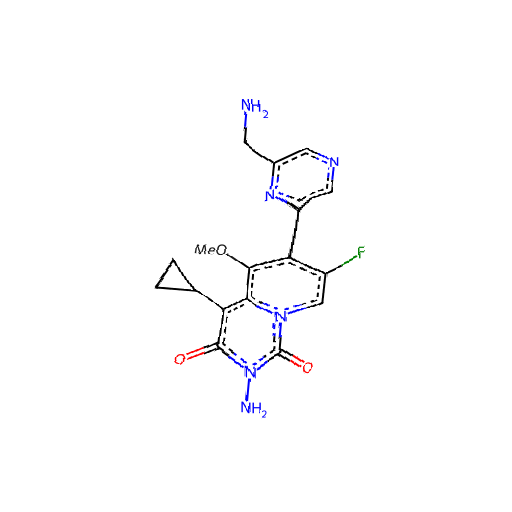 COc1c(-c2cncc(CN)n2)c(F)cn2c(=O)n(N)c(=O)c(C3CC3)c12